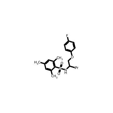 Cc1cc(C)c(S(=O)(=O)NC(COc2ccc(F)cc2)C(C)C)c(C)c1